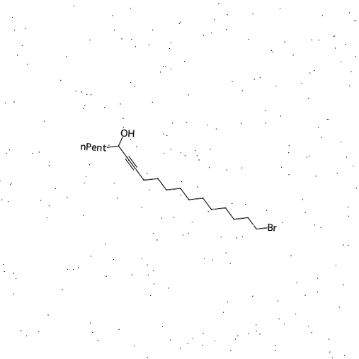 CCCCCC(O)C#CCCCCCCCCCCCBr